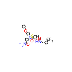 C[C@]1(CCOC(=O)NCCc2cccc(C(F)(F)F)c2)S[C@@H](c2ccc(OCc3ccccc3)cc2)N(c2cccc(C(N)=O)c2)C1=O